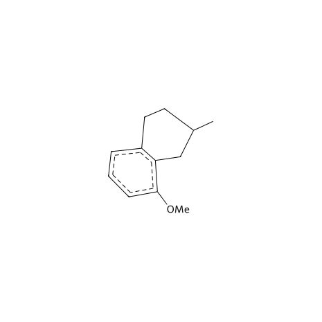 COc1cccc2c1CC(C)CC2